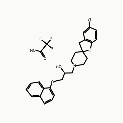 O=C(O)C(F)(F)F.O[C@H](COc1cccc2ccccc12)CN1CCC2(CC1)Cc1cc(Cl)ccc1O2